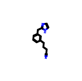 N#CCCCc1cccc(Cc2ncc[nH]2)c1